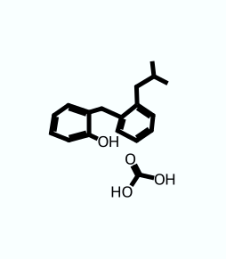 CC(C)Cc1ccccc1Cc1ccccc1O.O=C(O)O